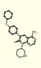 Nc1ncnc2c1cc(-c1ccc(Oc3ccccc3)cc1)c(=O)n2[C@@H]1CCCNC1